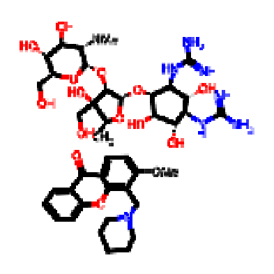 CN[C@@H]1[C@H](O[C@H]2[C@H](O[C@H]3[C@H](O)[C@@H](O)[C@H](NC(=N)N)[C@@H](O)[C@@H]3NC(=N)N)O[C@@H](C)[C@]2(O)CO)O[C@@H](CO)[C@H](O)[C@H]1O.COc1ccc2c(=O)c3ccccc3oc2c1CN1CCCCC1